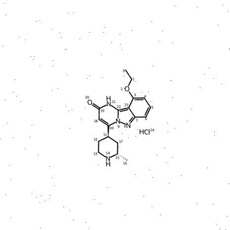 CCOc1cccc2nn3c([C@@H]4CCN[C@@H](C)C4)cc(=O)[nH]c3c12.Cl